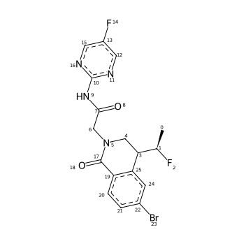 C[C@@H](F)C1CN(CC(=O)Nc2ncc(F)cn2)C(=O)c2ccc(Br)cc21